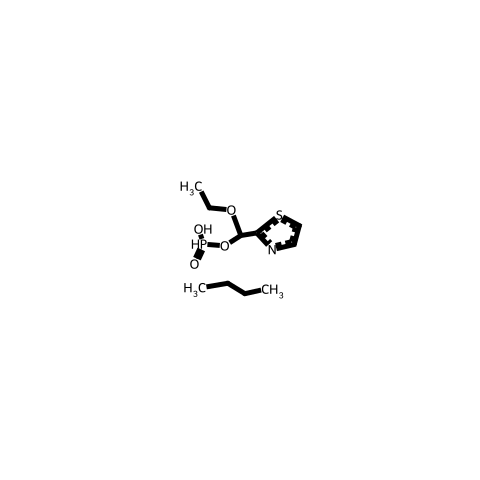 CCCC.CCOC(O[PH](=O)O)c1nccs1